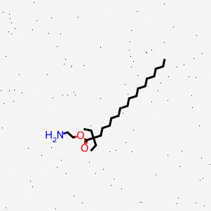 CCCCCCCCCCCCCCCCC(CC)(CC)C(=O)OCCN